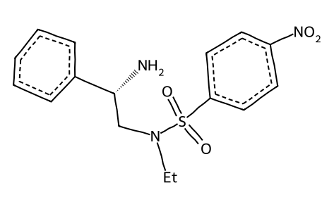 CCN(C[C@@H](N)c1ccccc1)S(=O)(=O)c1ccc([N+](=O)[O-])cc1